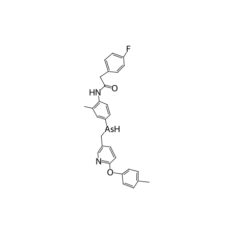 Cc1ccc(Oc2ccc(C[AsH]c3ccc(NC(=O)Cc4ccc(F)cc4)c(C)c3)cn2)cc1